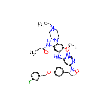 C=CC(=O)Nc1cc(Nc2cc(N3OCCC3c3ccc(OCc4cccc(F)c4)cc3)ncn2)c(OC)cc1N1CCN(CC)CC1